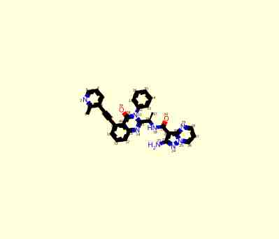 Cc1ncccc1C#Cc1cccc2nc([C@@H](C)NC(=O)c3c(N)nn4cccnc34)n(-c3ccccc3)c(=O)c12